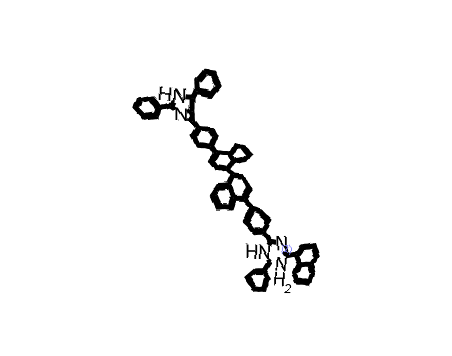 N/C(=N\C(NCc1ccccc1)c1ccc(-c2ccc(-c3ccc(-c4ccc(C5C6C(c7ccccc7)NC(c7ccccc7)N56)cc4)c4ccccc34)c3ccccc23)cc1)c1cccc2ccccc12